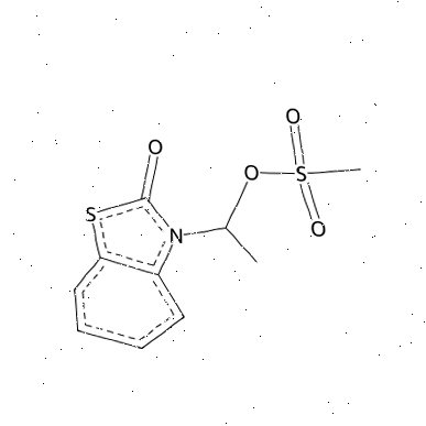 CC(OS(C)(=O)=O)n1c(=O)sc2ccccc21